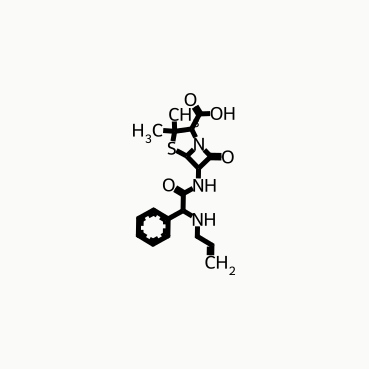 C=CCNC(C(=O)NC1C(=O)N2C1SC(C)(C)C2C(=O)O)c1ccccc1